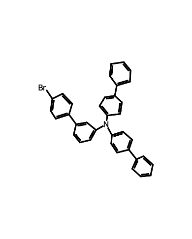 Brc1ccc(-c2cccc(N(c3ccc(-c4ccccc4)cc3)c3ccc(-c4ccccc4)cc3)c2)cc1